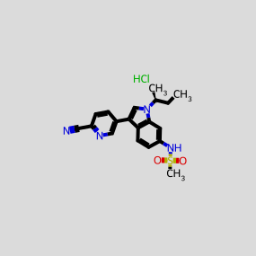 CC[C@H](C)n1cc(-c2ccc(C#N)nc2)c2ccc(NS(C)(=O)=O)cc21.Cl